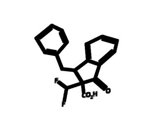 O=C(O)C1(C(F)F)C(=O)c2ccccc2C1Cc1ccccc1